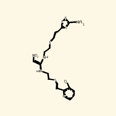 Nc1nnc(CCSCCNC(=C[N+](=O)[O-])NCCSCc2ncccc2Cl)s1